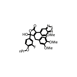 CCCOc1ccc(C2(O)OC(=O)C(c3ccc4nsnc4c3)=C2Cc2cc(OC)c(OC)c(OC)c2)cc1F